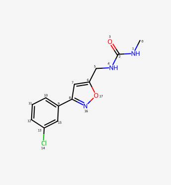 CNC(=O)NCc1cc(-c2cccc(Cl)c2)no1